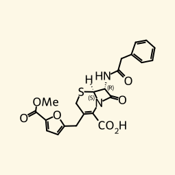 COC(=O)c1ccc(CC2=C(C(=O)O)N3C(=O)[C@@H](NC(=O)Cc4ccccc4)[C@@H]3SC2)o1